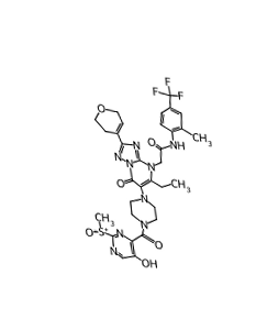 CCc1c(N2CCN(C(=O)c3nc([S+](C)[O-])ncc3O)CC2)c(=O)n2nc(C3=CCOCC3)nc2n1CC(=O)Nc1ccc(C(F)(F)F)cc1C